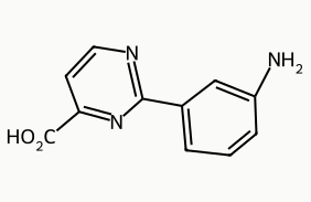 Nc1cccc(-c2nccc(C(=O)O)n2)c1